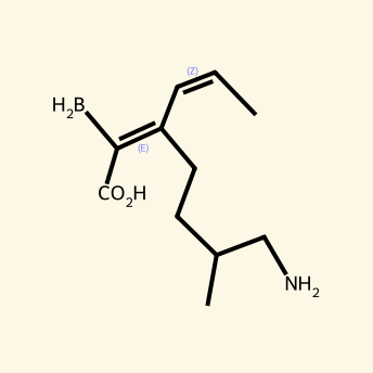 B/C(C(=O)O)=C(\C=C/C)CCC(C)CN